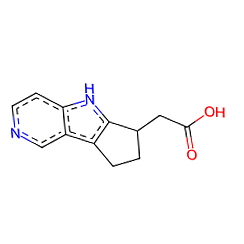 O=C(O)CC1CCc2c1[nH]c1ccncc21